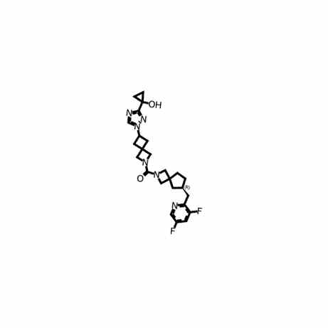 O=C(N1CC2(CC(n3cnc(C4(O)CC4)n3)C2)C1)N1CC2(CC[C@@H](Cc3ncc(F)cc3F)C2)C1